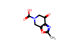 Cc1nc2c(o1)CN(C(=O)O)CC2=O